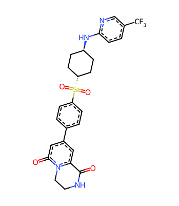 O=C1NCCn2c1cc(-c1ccc(S(=O)(=O)[C@H]3CC[C@H](Nc4ccc(C(F)(F)F)cn4)CC3)cc1)cc2=O